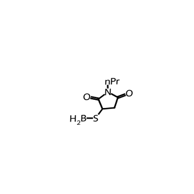 BSC1CC(=O)N(CCC)C1=O